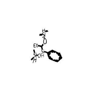 CCC(O[SiH](C)C)[SiH](O[SiH](C)C)c1ccccc1